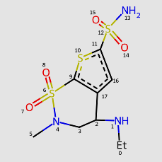 CCNC1CN(C)S(=O)(=O)c2sc(S(N)(=O)=O)cc21